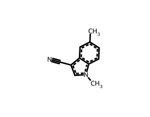 Cc1ccc2c(c1)c(C#N)cn2C